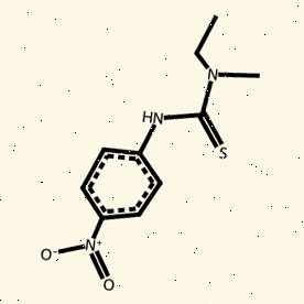 CCN(C)C(=S)Nc1ccc([N+](=O)[O-])cc1